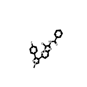 Cn1cc(-c2ccc3nc(NC(=O)c4ccccc4)c(Cl)n3n2)c(-c2ccc(F)cc2)n1